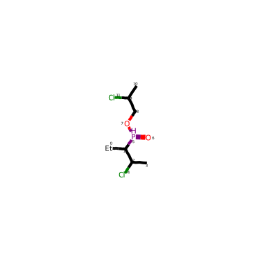 CCC(C(C)Cl)[PH](=O)OCC(C)Cl